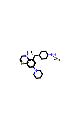 CN[C@H]1CC[C@@H](Cc2cc(N3CCCCC3)cc3c2N(C)CC=N3)CC1